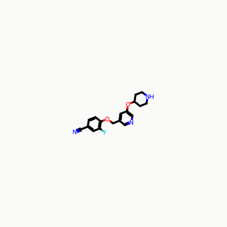 N#Cc1ccc(OCc2cncc(OC3CCNCC3)c2)c(F)c1